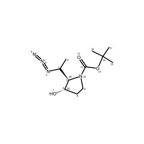 CC(N=[N+]=[N-])[C@@H]1[C@@H](O)CCN1C(=O)OC(C)(C)C